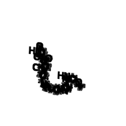 CC1(Oc2ccc3[nH]nc(-c4cc(N5CCC(CN6CCN(CC7CCN(c8ccc9c(c8Cl)CN(C8CCC(=O)NC8=O)C9=O)CC7)CC6)CC5)ncn4)c3c2)CC1